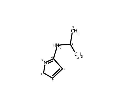 CC(C)NC1=NCC=C1